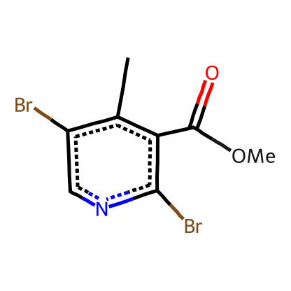 COC(=O)c1c(Br)ncc(Br)c1C